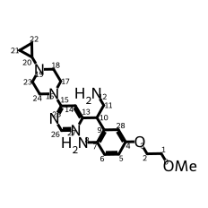 COCCOc1ccc(N)c(C(CN)c2cc(N3CCN(C4CC4)CC3)ncn2)c1